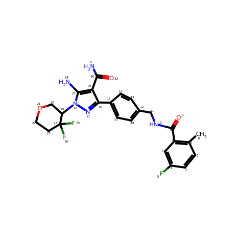 Cc1ccc(F)cc1C(=O)NCc1ccc(-c2nn(C3COCCC3(F)F)c(N)c2C(N)=O)cc1